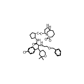 CC1(C)CC(C(c2ccc(Cl)cc2)C(NCCOCc2ccccc2)C(=O)N[C@H]2CCC[C@@H]2CC[C@H]2CN[C@@H]3CCCS(=O)(=O)N2C3)CCO1